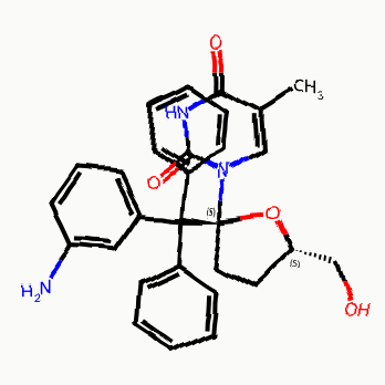 Cc1cn([C@@]2(C(c3ccccc3)(c3ccccc3)c3cccc(N)c3)CC[C@@H](CO)O2)c(=O)[nH]c1=O